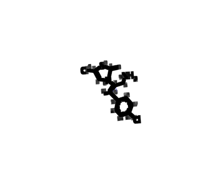 C=C1SC(Cl)=CN1/C(CN)=C(\C)c1ccc(Cl)cc1